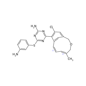 C/C1=C\C=C/c2cc(cc(Cl)c2-c2nc(N)nc(Sc3cccc(N)c3)n2)COC1